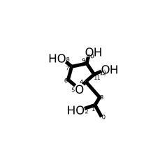 CC(O)CC1OCC(O)C(O)C1O